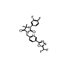 CC1(C)C(=O)N(Cc2ccc(-c3nnc(C(F)F)o3)cn2)C(=O)N1c1ccc(F)c(F)c1